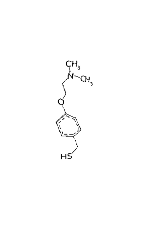 CN(C)CCOc1ccc(CS)cc1